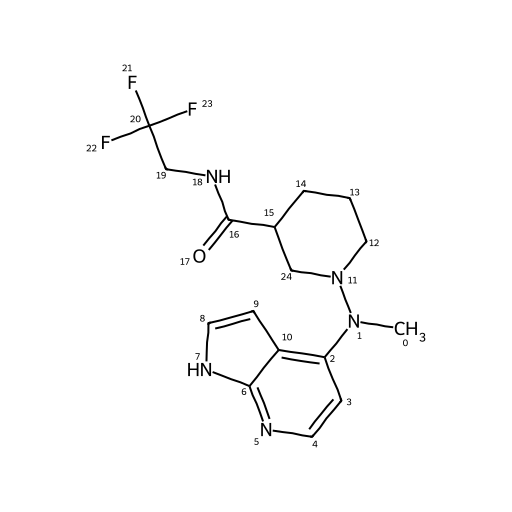 CN(c1ccnc2[nH]ccc12)N1CCCC(C(=O)NCC(F)(F)F)C1